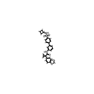 O=C(Nc1cccc(-c2ccc(S(=O)(=O)NC3CCC3)cc2)c1)C1(c2ccc3c(c2)OCO3)CC1